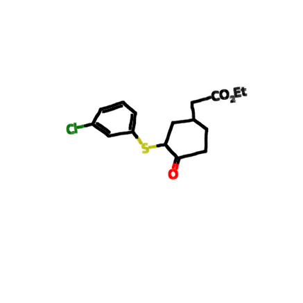 CCOC(=O)CC1CCC(=O)C(Sc2cccc(Cl)c2)C1